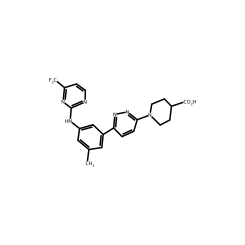 Cc1cc(Nc2nccc(C(F)(F)F)n2)cc(-c2ccc(N3CCC(C(=O)O)CC3)nn2)c1